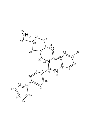 Cc1ccc2nc(-c3ccc(-c4ccccc4)cc3)n(CC3CCCC(CN)C3)c(=O)c2c1